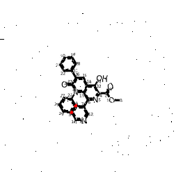 COC(=O)c1nc(-c2cccnc2)c2c(cc(-c3ccccc3)c(=O)n2-c2ccccc2)c1O